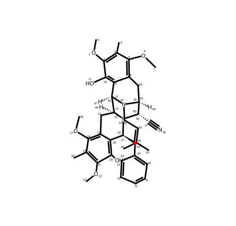 COc1c(C)c(OC)c2c(c1O)[C@@H]1[C@@H]3Cc4c(OC)c(C)c(OC)c(O)c4[C@H](Cc4ccccc4)N3[C@@H](C#N)[C@H](C2)N1CC=C(C)C